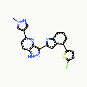 Cn1cc(-c2ccc3[nH]nc(-c4cc5c(-c6ccc(F)s6)cccc5[nH]4)c3n2)cn1